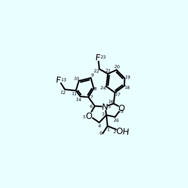 CC(O)C12COC(c3cccc(CF)c3)N1C(c1cccc(CF)c1)OC2